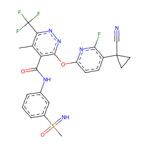 Cc1c(C(F)(F)F)nnc(Oc2ccc(C3(C#N)CC3)c(F)n2)c1C(=O)Nc1cccc(S(C)(=N)=O)c1